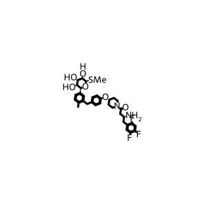 CS[C@H]1O[C@@H](c2ccc(C)c(Cc3ccc(OC4CCN(C(=O)C[C@H](N)Cc5cc(F)c(F)cc5F)CC4)cc3)c2)[C@H](O)[C@@H](O)[C@@H]1O